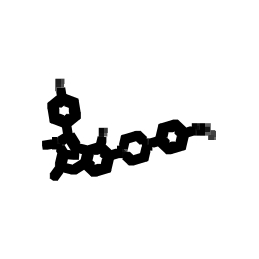 C/C1=C(/C)N(C)/C(c2ccc(F)cc2)=C/c2c(ccc(N3CCN(c4ccc(N)cc4)CC3)c2F)C1